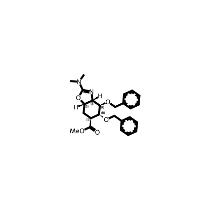 COC(=O)[C@H]1C[C@@H]2OC(N(C)C)=N[C@@H]2[C@@H](OCc2ccccc2)[C@@H]1OCc1ccccc1